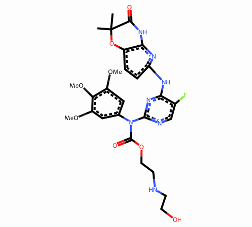 COc1cc(N(C(=O)OCCNCCO)c2ncc(F)c(Nc3ccc4c(n3)NC(=O)C(C)(C)O4)n2)cc(OC)c1OC